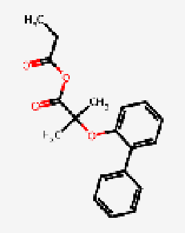 CCC(=O)OC(=O)C(C)(C)Oc1ccccc1-c1ccccc1